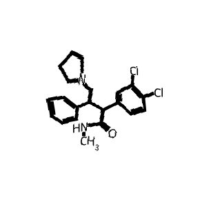 CNC(=O)C(c1ccc(Cl)c(Cl)c1)C(CN1CCCC1)c1ccccc1